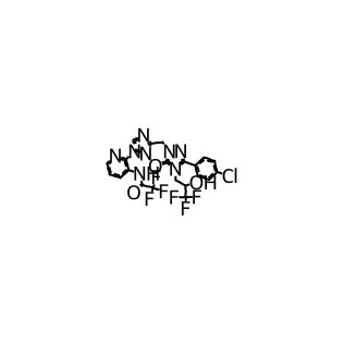 O=C(Nc1cccnc1-n1cnc(Cn2nc(-c3ccc(Cl)cc3)n(CC(O)C(F)(F)F)c2=O)n1)C(F)(F)F